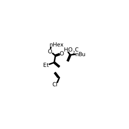 C=C(CC)C(=O)OCCCCCC.C=C(CCCC)C(=O)O.C=CCl